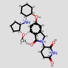 CO[C@@H]1CCC[C@H]1N[C@@H]1CCCC[C@H]1Oc1ccc2c(c1)CN(C1CCC(=O)NC1=O)C2=O